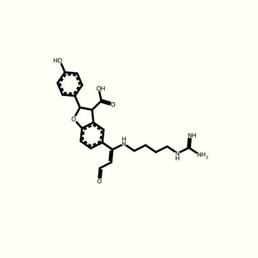 N=C(N)NCCCCN/C(=C/C=O)c1ccc2c(c1)C(C(=O)O)C(c1ccc(O)cc1)O2